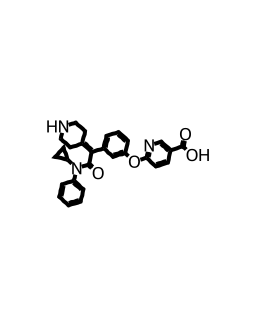 O=C(O)c1ccc(Oc2cccc(C(C(=O)N(c3ccccc3)C3CC3)=C3CCNCC3)c2)nc1